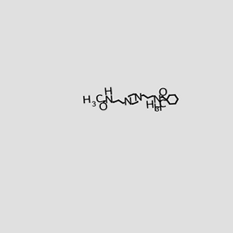 CC(=O)NCCCN1CCN(CCCNC(=O)C2(C)CCCCC2)CC1